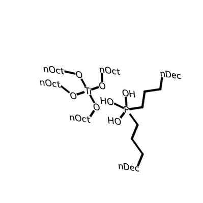 CCCCCCCCCCCCCP(O)(O)(O)CCCCCCCCCCCCC.CCCCCCCC[O][Ti]([O]CCCCCCCC)([O]CCCCCCCC)[O]CCCCCCCC